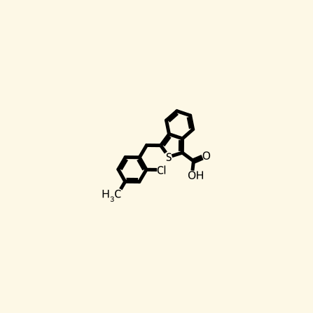 Cc1ccc(Cc2sc(C(=O)O)c3ccccc23)c(Cl)c1